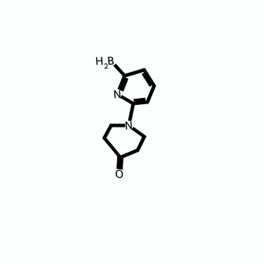 Bc1cccc(N2CCC(=O)CC2)n1